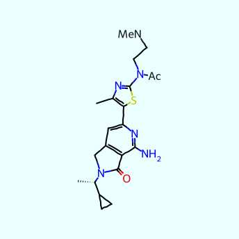 CNCCN(C(C)=O)c1nc(C)c(-c2cc3c(c(N)n2)C(=O)N([C@@H](C)C2CC2)C3)s1